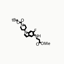 COC(=O)CCNc1cc2ccn(C3CCN(C(=O)OC(C)(C)C)CC3)c2cc1F